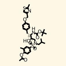 CC(=O)Oc1ccc(S(=O)(=O)N(CC(C)C)C[C@@H](O)[C@H](Cc2ccc(OCc3csc(C)n3)cc2)NC(=O)OC(C)(C)C)cc1C